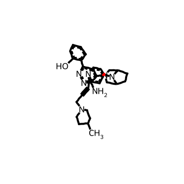 CC1CCN(CC#Cc2cc(N3C4CCC3CN(c3cc(-c5ccccc5O)nnc3N)C4)ccn2)CC1